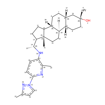 CCC[C@@]1(O)CC[C@H]2[C@H](CC[C@H]3C4CCC([C@@H](C)Nc5ccc(-n6ccc(C)n6)nc5C)[C@@]4(C)CC[C@H]23)C1